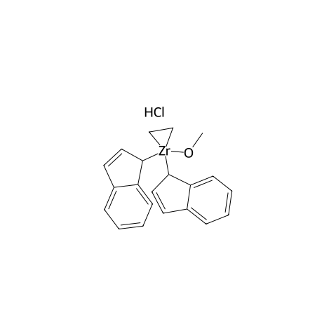 C[O][Zr]1([CH]2C=Cc3ccccc32)([CH]2C=Cc3ccccc32)[CH2][CH2]1.Cl